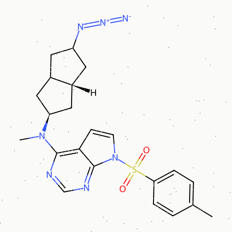 Cc1ccc(S(=O)(=O)n2ccc3c(N(C)[C@H]4CC5CC(N=[N+]=[N-])C[C@@H]5C4)ncnc32)cc1